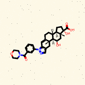 C[C@@]12Cc3cnn(-c4cccc(C(=O)N5CCOCC5)c4)c3C=C1CC[C@H]1[C@H]2[C@H](O)C[C@]2(C)[C@@H]1CC[C@@]2(O)C(=O)O